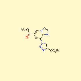 CCOC(=O)c1cn(-c2cc(C(=O)OC)cn3ccnc23)nn1